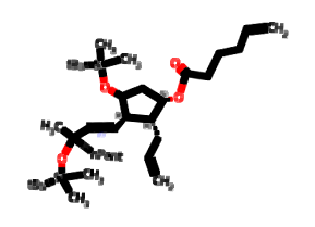 C=CCCCC(=O)O[C@H]1CC(O[Si](C)(C)C(C)(C)C)[C@H](/C=C/C(C)(CCCCC)O[Si](C)(C)C(C)(C)C)[C@H]1CC=C